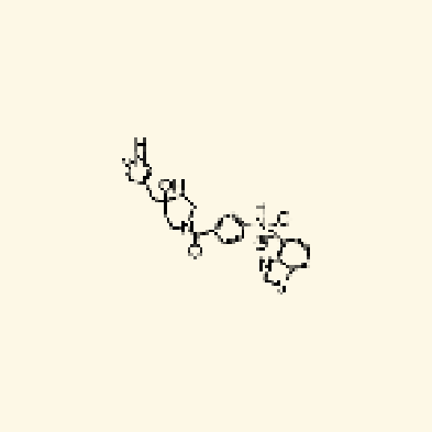 O=C(c1ccc(NS(=O)(=O)c2cccc3scnc23)cc1)N1CCC(O)(Cc2cn[nH]c2)CC1